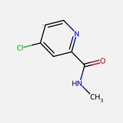 CNC(=O)c1cc(Cl)[c]cn1